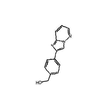 OCc1ccc(-c2cn3ncccc3n2)cc1